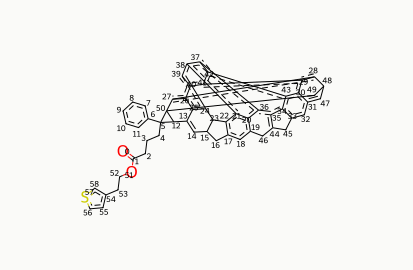 O=C(CCCC1(c2ccccc2)C2C3=CC4Cc5cc6c7c8c5C4c4c3c3c5c9c%10c%11c(cc%12c%13c(c7c7c8c4c3c%10c7c%13%11)=C(C%12)C6)=CC9CC521)OCCc1ccsc1